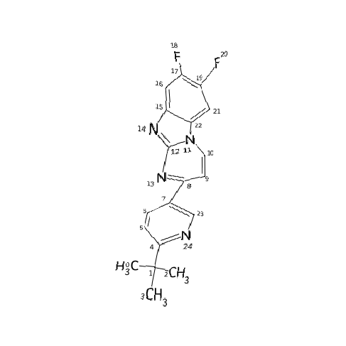 CC(C)(C)c1ccc(-c2ccn3c(n2)nc2cc(F)c(F)cc23)cn1